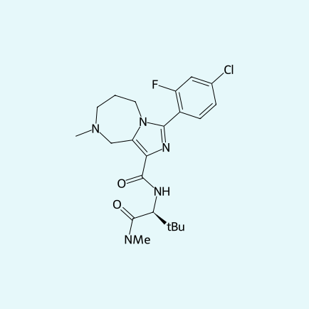 CNC(=O)[C@@H](NC(=O)c1nc(-c2ccc(Cl)cc2F)n2c1CN(C)CCC2)C(C)(C)C